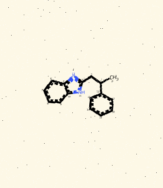 CC(Cc1nc2ccccc2[nH]1)c1ccccc1